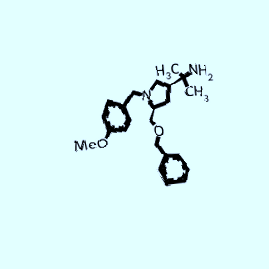 COc1ccc(CN2C[C@@H](C(C)(C)N)C[C@H]2COCc2ccccc2)cc1